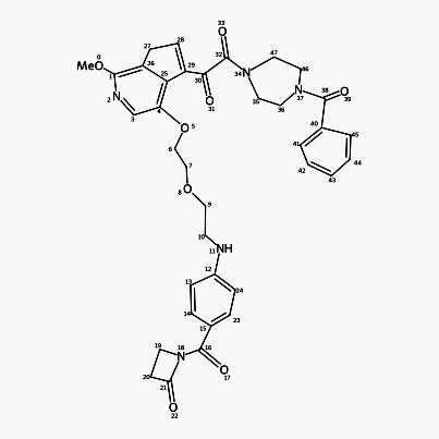 COc1ncc(OCCOCCNc2ccc(C(=O)N3CCC3=O)cc2)c2c1CC=C2C(=O)C(=O)N1CCN(C(=O)c2ccccc2)CC1